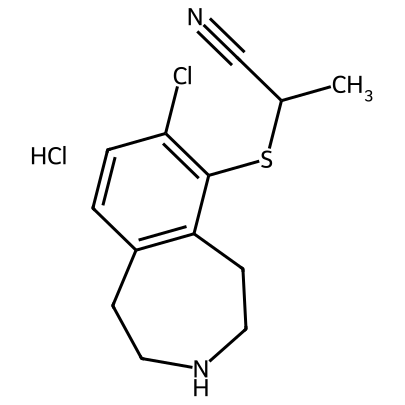 CC(C#N)Sc1c(Cl)ccc2c1CCNCC2.Cl